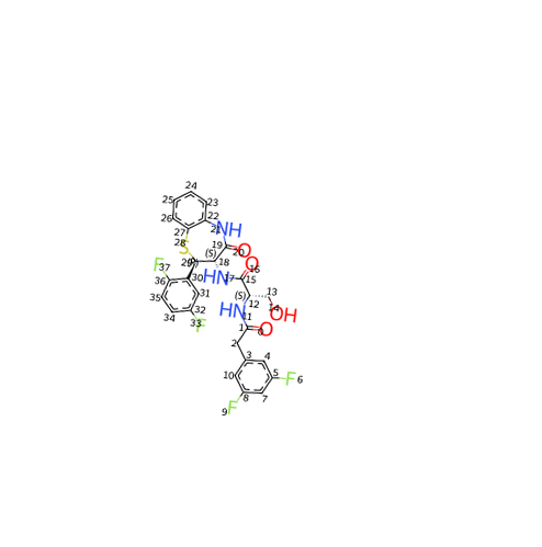 O=C(Cc1cc(F)cc(F)c1)N[C@@H](CO)C(=O)N[C@H]1C(=O)Nc2ccccc2S[C@@H]1c1cc(F)ccc1F